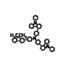 CC1(C)c2ccccc2-c2ccc(-c3ccc(N(c4ccc(-c5cccc6c5c5ccccc5n6-c5ccccc5)cc4)c4ccc(-c5cccc6c5c5ccccc5n6-c5ccccc5)cc4)cc3)cc21